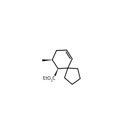 CCOC(=O)[C@H]1[C@@H](C)CC=CC12CCCC2